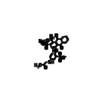 CC(=O)CNc1ccc(Nc2cc(S(=O)(=O)[O-])c(N)c3c2C(=O)c2ccccc2C3=O)c(S(=O)(=O)[O-])c1.[Na+].[Na+]